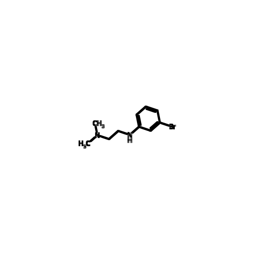 CN(C)CCNc1cccc(Br)c1